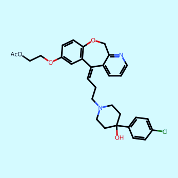 CC(=O)OCCOc1ccc2c(c1)/C(=C/CCN1CCC(O)(c3ccc(Cl)cc3)CC1)c1cccnc1CO2